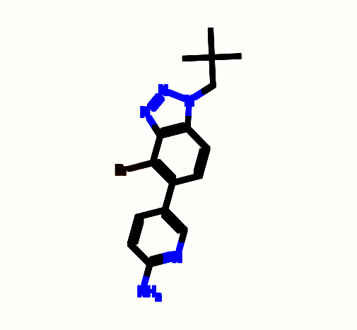 CC(C)(C)Cn1nnc2c(Br)c(-c3ccc(N)nc3)ccc21